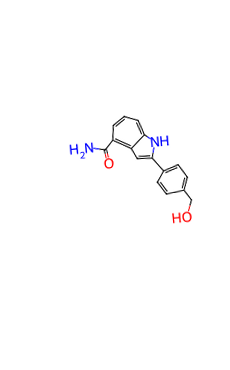 NC(=O)c1cccc2[nH]c(-c3ccc(CO)cc3)cc12